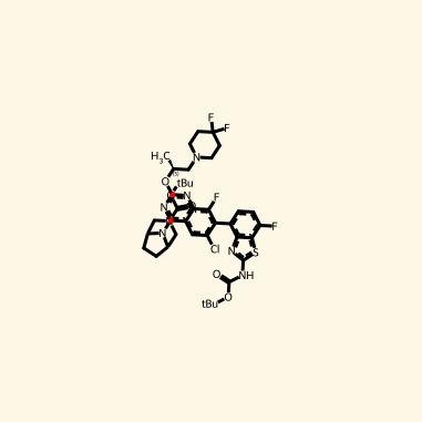 C[C@@H](CN1CCC(F)(F)CC1)Oc1nc(N2C3CCC2CN(C(=O)OC(C)(C)C)C3)c2cc(Cl)c(-c3ccc(F)c4sc(NC(=O)OC(C)(C)C)nc34)c(F)c2n1